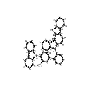 N#Cc1cc(-c2ccccc2-n2c3ccccc3c3c4oc5ccccc5c4ccc32)ccc1-n1c2ccccc2c2ccccc21